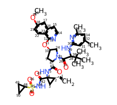 C=C[C@@H]1C[C@]1(NC(=O)[C@@H]1C[C@@H](Oc2nccc3cc(OC)ccc23)CN1C(=O)C(Nc1cc(C)cc(C)n1)C(C)(C)C)C(=O)NS(=O)(=O)C1CC1